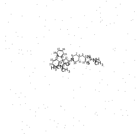 CNc1nc(CC2CCN(CCC(C(=O)N(C)C)(c3ccccc3)c3ccccc3)CC2)cs1